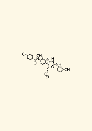 CCOCCCn1c(NC(=O)Nc2cccc(C#N)c2)nc2cc(N(C)C(=O)c3ccc(Cl)cc3)ccc21